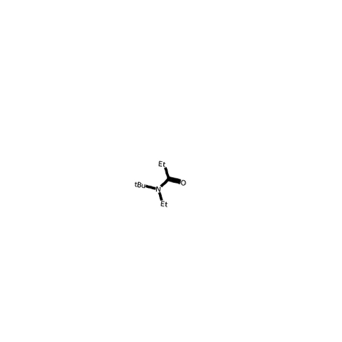 CCC(=O)N(CC)C(C)(C)C